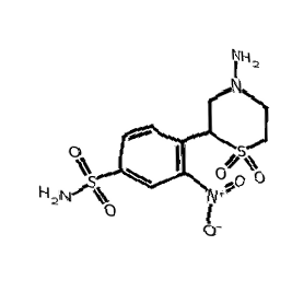 NN1CCS(=O)(=O)C(c2ccc(S(N)(=O)=O)cc2[N+](=O)[O-])C1